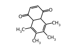 CC1=C(C)C2C(=O)C=CC(=O)C2C(C)=C1C